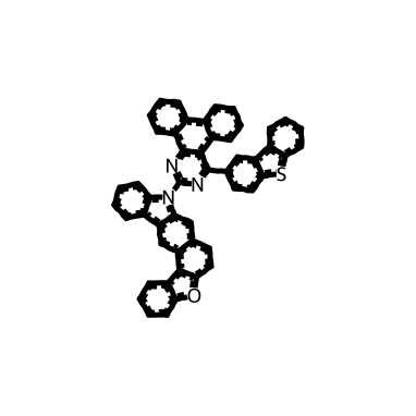 c1ccc2c(c1)oc1ccc3cc4c(cc3c12)c1ccccc1n4-c1nc(-c2ccc3sc4ccccc4c3c2)c2c3ccccc3c3ccccc3c2n1